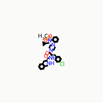 CS(=O)(=O)N(CC1CC1)c1ccccc1N1CCN(C(=O)[C@@H](Cc2ccc(Cl)cc2)NC(=O)[C@@H]2Cc3ccccc3CN2)CC1